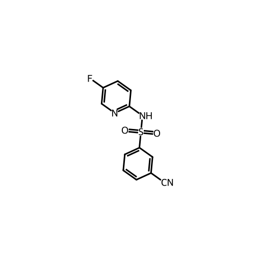 N#Cc1cccc(S(=O)(=O)Nc2ccc(F)cn2)c1